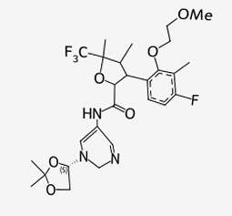 COCCOc1c(C2C(C(=O)NC3=CN([C@@H]4COC(C)(C)O4)CN=C3)OC(C)(C(F)(F)F)C2C)ccc(F)c1C